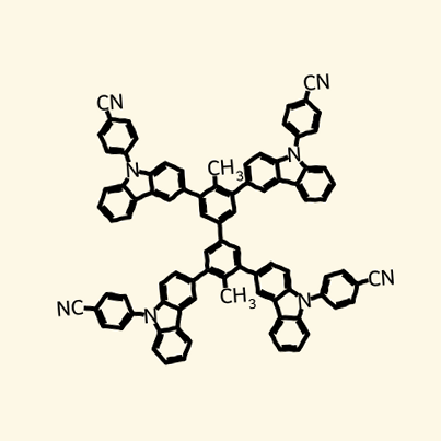 Cc1c(-c2ccc3c(c2)c2ccccc2n3-c2ccc(C#N)cc2)cc(-c2cc(-c3ccc4c(c3)c3ccccc3n4-c3ccc(C#N)cc3)c(C)c(-c3ccc4c(c3)c3ccccc3n4-c3ccc(C#N)cc3)c2)cc1-c1ccc2c(c1)c1ccccc1n2-c1ccc(C#N)cc1